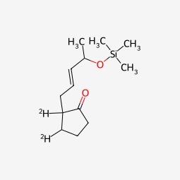 [2H]C1CCC(=O)C1([2H])CC=CC(C)O[Si](C)(C)C